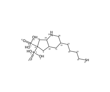 O=P(O)(O)C1(P(=O)(O)O)CC2CC(CCCCS)CNC2C1